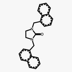 O=C1N(Cc2cccc3ccccc23)CCN1Cc1cccc2ccccc12